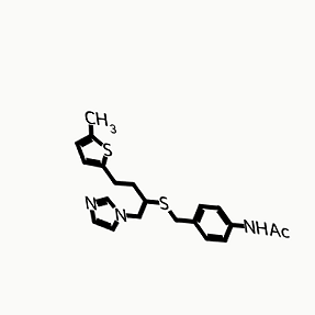 CC(=O)Nc1ccc(CSC(CCc2ccc(C)s2)Cn2ccnc2)cc1